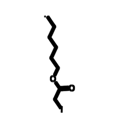 [CH2]CCCCCOC(=O)CI